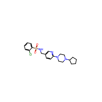 O=S(=O)(NCc1ccc(N2CCN(C3CCCC3)CC2)nc1)c1ccccc1Cl